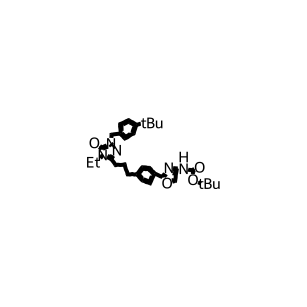 CCn1c(CCCc2ccc(-c3nc(NC(=O)OC(C)(C)C)co3)cc2)nn(Cc2ccc(C(C)(C)C)cc2)c1=O